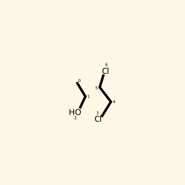 CCO.ClCCCl